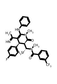 CC(=N)C1=C(Nc2ccccc2)N(C)C(=O)[C@@H]([C@@H]([SiH3])N(C)C(=O)c2cccc(C(F)(F)F)c2)[C@H]1c1ccc(F)cc1